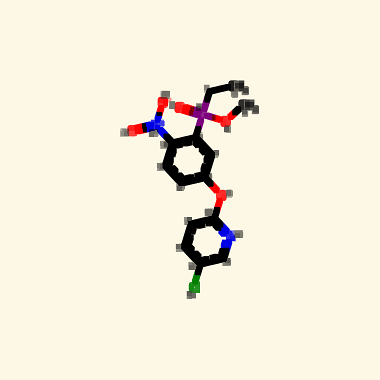 CCP(=O)(OC)c1cc(Oc2ccc(Cl)cn2)ccc1[N+](=O)[O-]